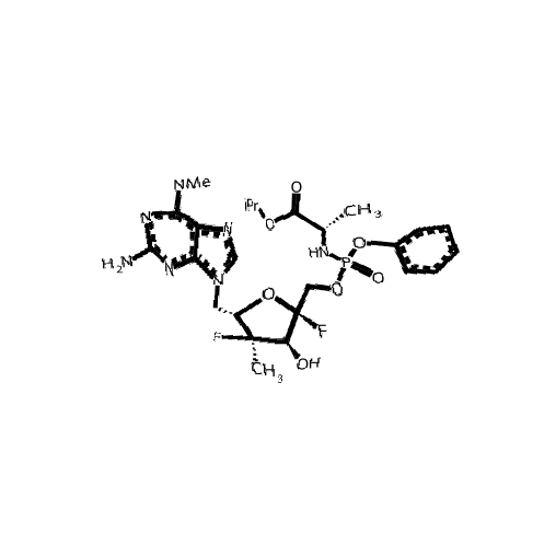 CNc1nc(N)nc2c1ncn2C[C@@H]1O[C@](F)(COP(=O)(N[C@@H](C)C(=O)OC(C)C)Oc2ccccc2)[C@@H](O)[C@@]1(C)F